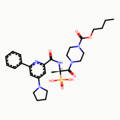 CCCCOC(=O)N1CCN(C(=O)[C@@](C)(NC(=O)c2cc(N3CCCC3)cc(-c3ccccc3)n2)P(=O)(O)O)CC1